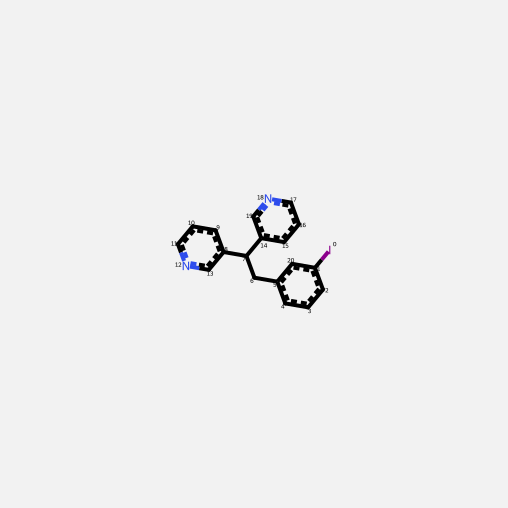 Ic1cccc(CC(c2cccnc2)c2cccnc2)c1